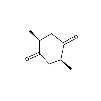 C[C@H]1CC(=O)[C@@H](C)CC1=O